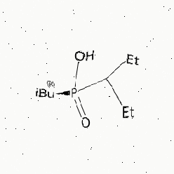 CCC(CC)P(=O)(O)[C@H](C)CC